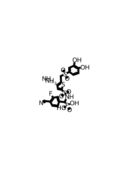 N.N.N#Cc1ccc(C(NS(=O)(=O)c2ccc(CS(=O)(=O)c3ccc(O)c(O)c3)s2)P(=O)(O)O)cc1F